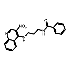 O=C(NCCCNc1c([N+](=O)[O-])cnc2ccccc12)c1ccccc1